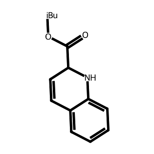 CCC(C)OC(=O)C1C=Cc2ccccc2N1